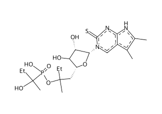 CCC(C)(C[C@H]1O[C@@H](n2cc3c(C)c(C)[nH]c3nc2=S)[C@@H](O)C1O)OP(=O)(O)C(C)(O)CC